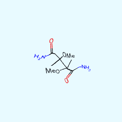 COC(C)(C(N)=O)C(C)(OC)C(N)=O